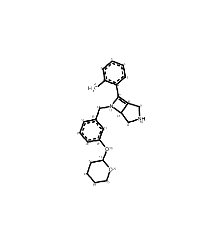 Cc1ccccc1C1=C2CNCC2N1Cc1cccc(OC2CCCCO2)c1